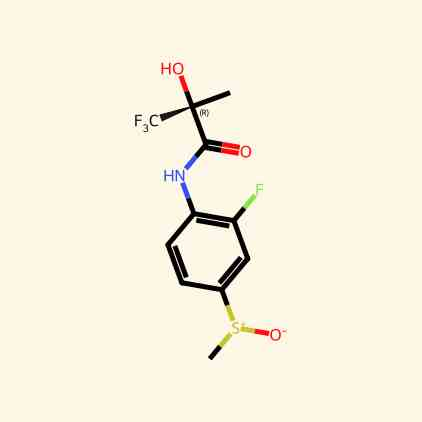 C[S+]([O-])c1ccc(NC(=O)[C@@](C)(O)C(F)(F)F)c(F)c1